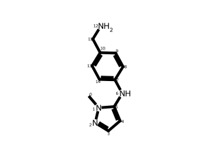 Cn1nccc1Nc1ccc(CN)cc1